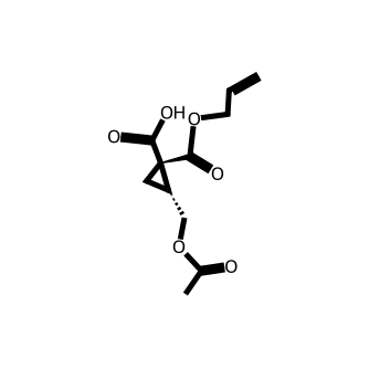 C=CCOC(=O)[C@]1(C(=O)O)C[C@H]1COC(C)=O